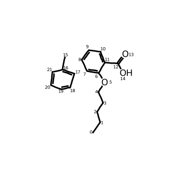 CCCCCOc1ccccc1C(=O)O.Cc1ccccc1